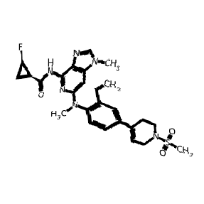 CCc1cc(C2=CCN(S(C)(=O)=O)CC2)ccc1N(C)c1cc2c(ncn2C)c(NC(=O)[C@H]2C[C@H]2F)n1